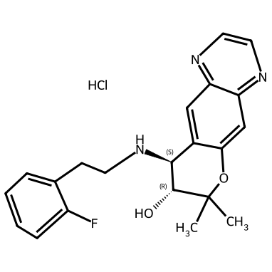 CC1(C)Oc2cc3nccnc3cc2[C@H](NCCc2ccccc2F)[C@H]1O.Cl